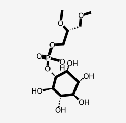 COC[C@H](COP(=O)(O)O[C@@H]1[C@H](O)[C@H](O)[C@@H](O)[C@H](O)[C@H]1O)OC